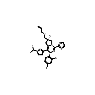 C=CCOC[C@]1(O)CC2=C(c3ccn(C(F)F)n3)[C@H](c3ccc(F)cc3Cl)N=C(c3nccs3)N2C1